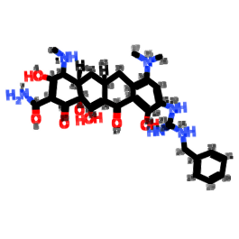 CNC1C(O)=C(C(N)=O)C(=O)[C@@]2(O)C(O)=C3C(=O)c4c(O)c(NC(=N)NCc5ccccc5)cc(N(C)C)c4C[C@H]3C[C@@H]12